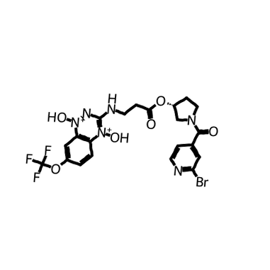 O=C(CCNc1n[n+](O)c2cc(OC(F)(F)F)ccc2[n+]1O)O[C@@H]1CCN(C(=O)c2ccnc(Br)c2)C1